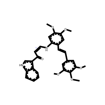 COc1cc(C=Cc2cc(OC)c(OC)c(OC)c2)c(N/C=C\C(=O)c2c[nH]c3ccccc23)cc1OC